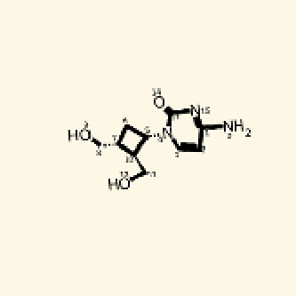 Nc1ccn([C@H]2C[C@@H](CO)[C@@H]2CO)c(=O)n1